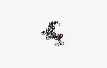 CCC(CC)COC(=O)[C@H](C)/N=C\P(=O)(OCC1O[C@@](C#N)(c2ccc3c(N)ncnn23)C(O[Si](C)(C)C(C)(C)C)C1O[Si](C)(C)C(C)(C)C)Oc1ccccc1